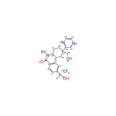 CCN(C(=O)c1ccc([C@](C)(O)C(F)(F)F)cc1)C1CCC(CO)(c2cnccn2)CC1